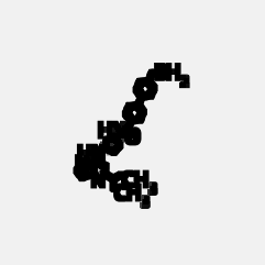 BCc1ccc(-c2ccc(C(=O)N[C@H]3CC[C@H](Nc4cc(C(CC)CC)nc5ccnn45)C3)cc2)cc1